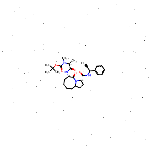 C#CC(NC(=O)[C@@H]1CCC2CCCC[C@H](NC(=O)[C@H](C)N(C)C(=O)OC(C)(C)C)C(=O)N21)c1ccccc1